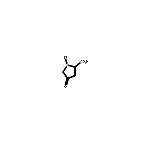 CCN1CC(=O)CC1C(=O)O